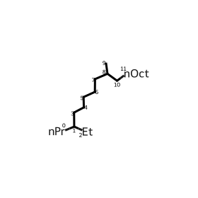 [CH2]CCC(CC)CCCCCC(C)CCCCCCCCC